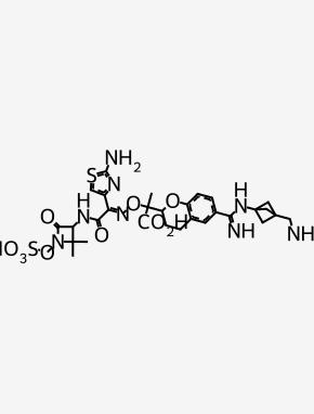 CC(ON=C(C(=O)NC1C(=O)N(OS(=O)(=O)O)C1(C)C)c1csc(N)n1)(C(=O)O)C1CCc2cc(C(=N)NC34CC(CN)(C3)C4)ccc2O1